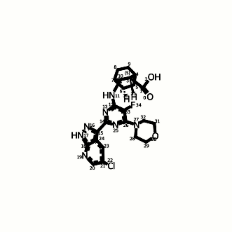 O=C(O)[C@H]1C2CCC(CC2)[C@@H]1Nc1nc(-c2n[nH]c3ncc(Cl)cc23)nc(N2CCOCC2)c1F